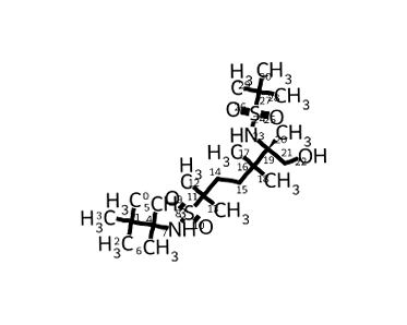 CC(C)(C)C(C)(C)NS(=O)(=O)C(C)(C)CCC(C)(C)[C@@](C)(CO)NS(=O)(=O)C(C)(C)C